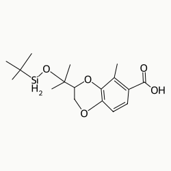 Cc1c(C(=O)O)ccc2c1OC(C(C)(C)O[SiH2]C(C)(C)C)CO2